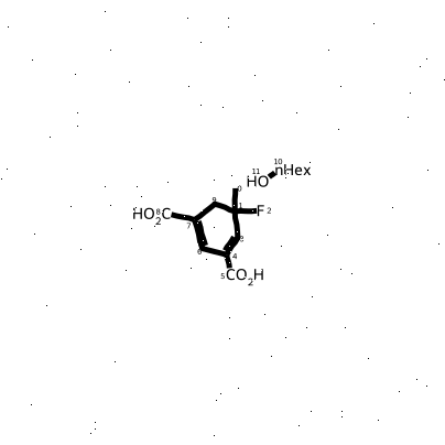 CC1(F)C=C(C(=O)O)C=C(C(=O)O)C1.CCCCCCO